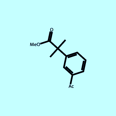 COC(=O)C(C)(C)c1cccc(C(C)=O)c1